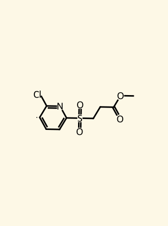 COC(=O)CCS(=O)(=O)c1cc[c]c(Cl)n1